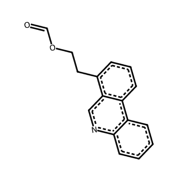 O=COCCc1cccc2c1cnc1ccccc12